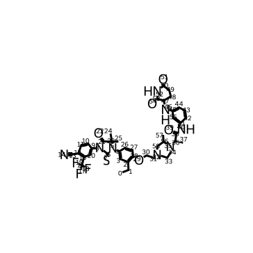 CCc1cc(N2C(=S)N(c3ccc(C#N)c(C(F)(F)F)c3)C(=O)C2(C)C)ccc1OCCN1CCN([C@H](C)C(=O)Nc2cccc(NC3CCC(=O)NC3=O)c2)C(C)C1